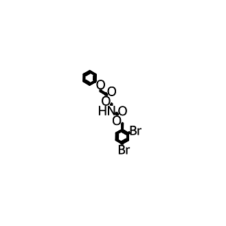 O=C(COc1ccccc1)OCNC(=O)OCc1ccc(Br)cc1Br